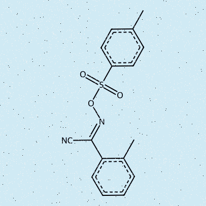 Cc1ccc(S(=O)(=O)O/N=C(\C#N)c2ccccc2C)cc1